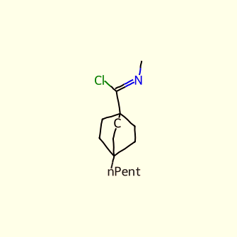 CCCCCC12CCC(/C(Cl)=N/C)(CC1)CC2